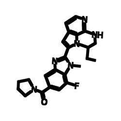 CCC1CNc2nccc3cc(-c4nc5cc(C(=O)N6CCCC6)cc(F)c5n4C)n1c23